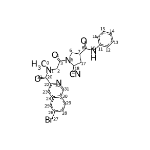 CN(CC(=O)N1CC(C(=O)Nc2ccccc2)CC1C#N)C(=O)c1cc2cc(Br)ccc2cn1